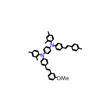 COc1cccc(/C=C/c2ccc(N(c3ccc(N(c4ccc(/C=C/c5ccc(C)cc5)cc4)c4ccc(C)cc4C)cc3)c3ccc(C)cc3C)cc2)c1